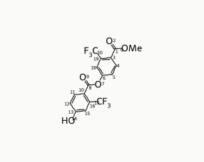 COC(=O)c1ccc(OC(=O)c2ccc(O)cc2C(F)(F)F)cc1C(F)(F)F